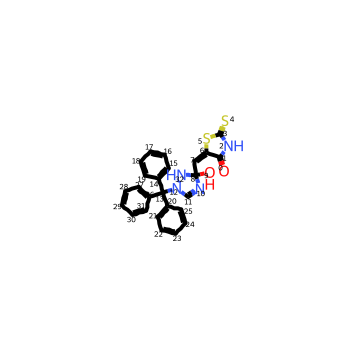 O=C1NC(=S)SC1=CC1(O)N=CN(C(c2ccccc2)(c2ccccc2)c2ccccc2)N1